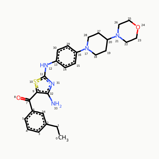 CCc1cccc(C(=O)c2sc(Nc3ccc(N4CCC(N5CCOCC5)CC4)cc3)nc2N)c1